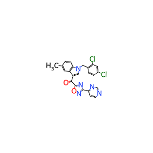 Cc1ccc2c(c1)c(C(=O)c1nc(-c3ccncn3)no1)cn2Cc1ccc(Cl)cc1Cl